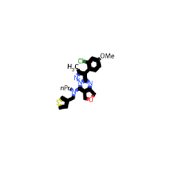 CCCN(Cc1ccsc1)c1c2c(nc3c(-c4ccc(OC)cc4Cl)c(C)nn13)COC2